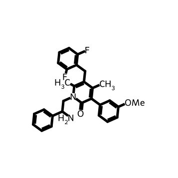 COc1cccc(-c2c(C)c(Cc3c(F)cccc3F)c(C)n(CC(N)c3ccccc3)c2=O)c1